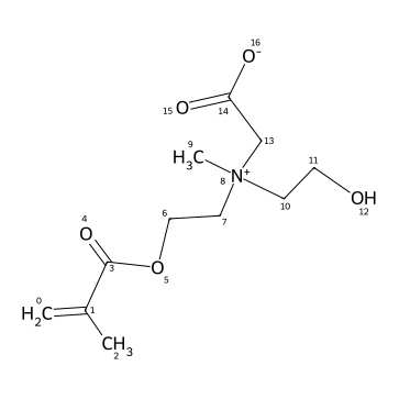 C=C(C)C(=O)OCC[N+](C)(CCO)CC(=O)[O-]